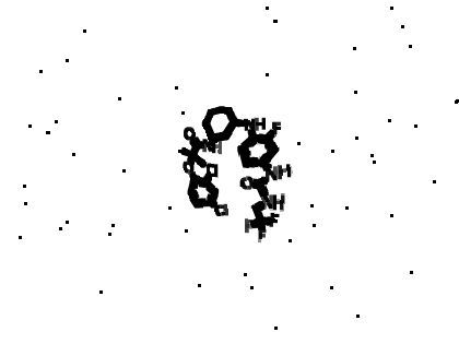 CC(C)(Oc1ccc(Cl)cc1Cl)C(=O)NC1CCCCC(Nc2ccc(NC(=O)NCC(F)(F)F)cc2F)C1